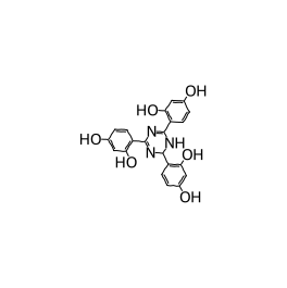 Oc1ccc(C2=NC(c3ccc(O)cc3O)NC(c3ccc(O)cc3O)=N2)c(O)c1